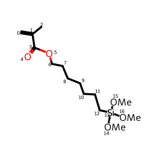 C=C(C)C(=O)OCCCCCCC[Si](OC)(OC)OC